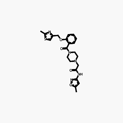 Cc1cc(NC(=O)CN2CCN(C(=O)c3ccccc3OCc3csc(C)n3)CC2)no1